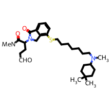 CNC(=O)C(CCC=O)N1Cc2c(SCCCCCCCN(C)C3CCC(C)(C)CC3)cccc2C1=O